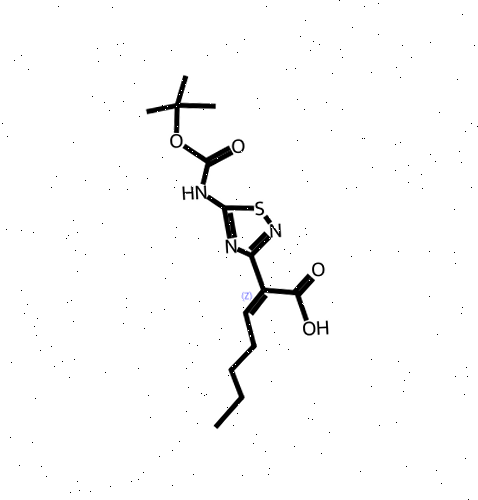 CCCC/C=C(\C(=O)O)c1nsc(NC(=O)OC(C)(C)C)n1